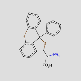 N[C@@H](CSC1(c2ccccc2)c2ccccc2Sc2ccccc21)C(=O)O